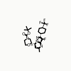 Cc1cc([C@H]2CN(C(=O)OC(C)(C)C)CCO2)n2nc([C@H]3CC[C@H](C(F)(F)F)CC3)c(F)c2n1